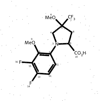 COc1c(N2CC(OC)(C(F)(F)F)CC2C(=O)O)ccc(F)c1F